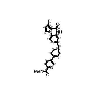 CNC(=O)c1ccc(C2=CCN(Cc3cc4[nH]c(=O)c5c(F)ccn5c4cn3)CC2)cn1